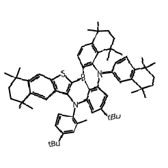 Cc1cc(C(C)(C)C)ccc1N1c2cc(C(C)(C)C)cc3c2B(c2ccc4c(c2N3c2ccc3c(c2)C(C)(C)CCC3(C)C)C(C)(C)CCC4(C)C)c2sc3cc4c(cc3c21)C(C)(C)CCC4(C)C